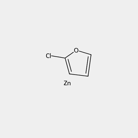 Clc1ccco1.[Zn]